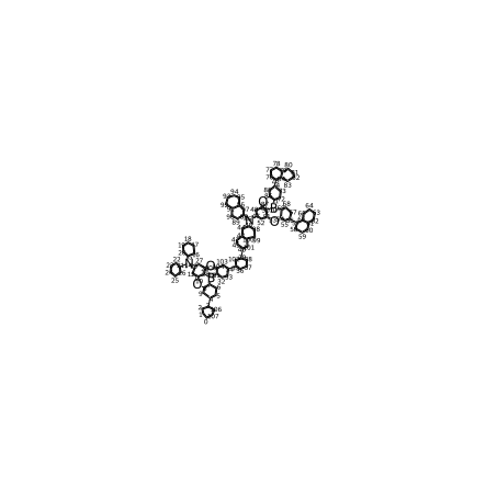 c1ccc(-c2ccc3c(c2)Oc2cc(N(c4ccccc4)c4ccccc4)cc4c2B3c2ccc(-c3cccc(-c5ccc6cc(N(c7cc8c9c(c7)Oc7cc(-c%10cccc%11ccccc%10%11)ccc7B9c7ccc(-c9cccc%10ccccc9%10)cc7O8)c7ccc8ccccc8c7)ccc6c5)c3)cc2O4)cc1